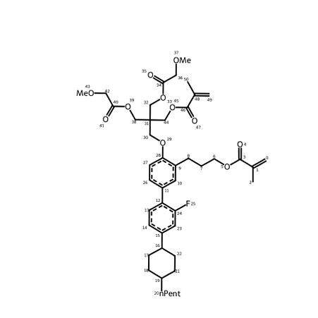 C=C(C)C(=O)OCCCc1cc(-c2ccc(C3CCC(CCCCC)CC3)cc2F)ccc1OCC(COC(=O)COC)(COC(=O)COC)COC(=O)C(=C)C